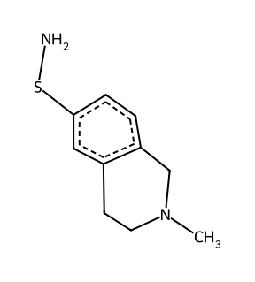 CN1CCc2cc(SN)ccc2C1